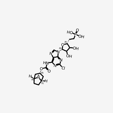 CN1[C@@H]2CC[C@H]1C[C@@H](OC(=O)Nc1nc(Cl)nc3c1ncn3[C@@H]1O[C@H](CCP(=O)(O)O)C(O)C1O)C2